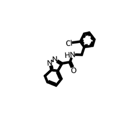 O=C(NCc1ccccc1Cl)C1=NN=C2CC=CC=C21